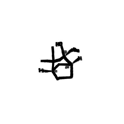 CCCC[C@]1(O)[C@H]2CC[C@H](C2)C1(C)C